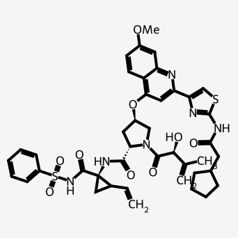 C=CC1C[C@]1(NC(=O)[C@@H]1C[C@@H](Oc2cc(-c3csc(NC(=O)CC4CCCC4)n3)nc3cc(OC)ccc23)CN1C(=O)[C@@H](O)C(=C)C)C(=O)NS(=O)(=O)c1ccccc1